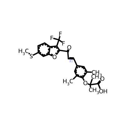 CSc1ccc2c(C(F)(F)F)c(C(=O)/C=C/c3cc(C)c(OC(C)(C)C(=O)O)c(C)c3)oc2c1